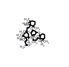 CC(=O)/C=C/C1(O)C(C)(C)CCCC1(C)Oc1cc(OC2(C)CCCC(C)(C)C2(O)/C=C/C(C)=O)cc(OC2(C)CCCC(C)(C)C2(O)/C=C/C(C)=O)c1